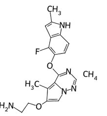 C.Cc1cc2c(F)c(Oc3ncnn4cc(OCCN)c(C)c34)ccc2[nH]1